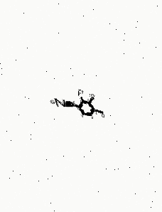 Cc1ccc(C#N)c(F)c1C